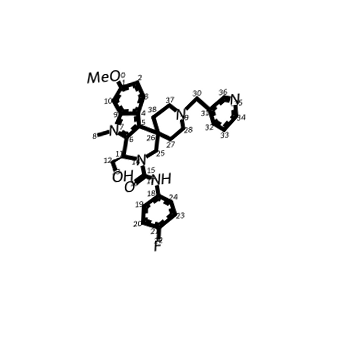 COc1ccc2c3c(n(C)c2c1)[C@H](CO)N(C(=O)Nc1ccc(F)cc1)CC31CCN(Cc2cccnc2)CC1